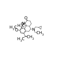 C=C(C)c1cc(OC)c2c3c1CC(N(CC)CC1CC1)C1CCC(=O)[C@@H](O2)[C@@]31C